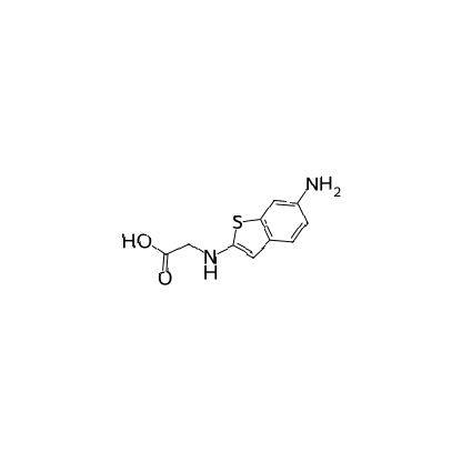 Nc1ccc2cc(NCC(=O)O)sc2c1